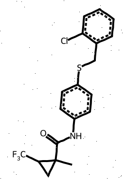 CC1(C(=O)Nc2ccc(SCc3ccccc3Cl)cc2)CC1C(F)(F)F